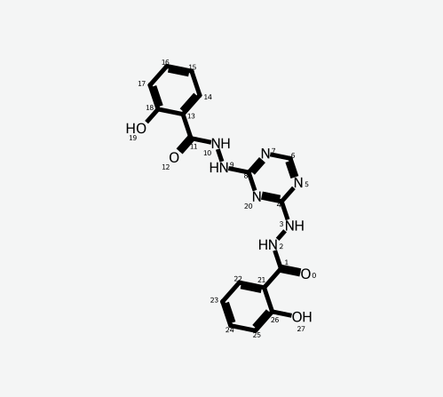 O=C(NNc1ncnc(NNC(=O)c2ccccc2O)n1)c1ccccc1O